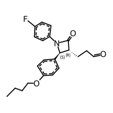 CCCCOc1ccc([C@@H]2[C@@H](CCC=O)C(=O)N2c2ccc(F)cc2)cc1